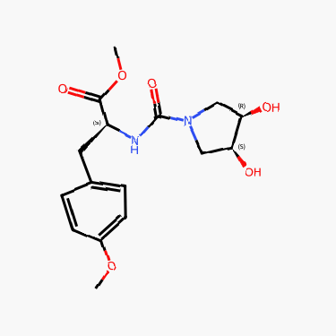 COC(=O)[C@H](Cc1ccc(OC)cc1)NC(=O)N1C[C@@H](O)[C@@H](O)C1